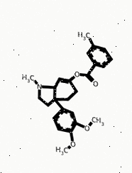 COc1ccc(C23CCC(OC(=O)c4cccc(C)c4)=CC2N(C)CC3)cc1OC